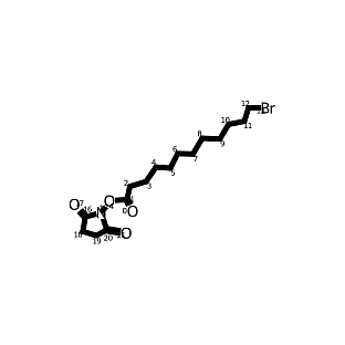 O=C(CCCCCCCCCCCBr)ON1C(=O)CCC1=O